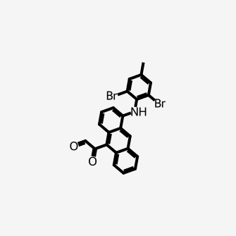 Cc1cc(Br)c(Nc2cccc3c(C(=O)C=O)c4ccccc4cc23)c(Br)c1